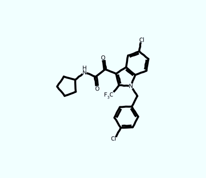 O=C(NC1CCCC1)C(=O)c1c(C(F)(F)F)n(Cc2ccc(Cl)cc2)c2ccc(Cl)cc12